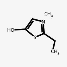 C.CCc1ncc(O)s1